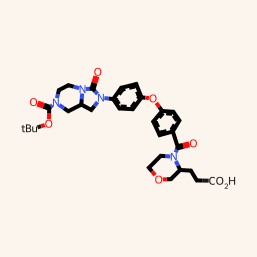 CC(C)(C)OC(=O)N1CCN2C(=O)N(c3ccc(Oc4ccc(C(=O)N5CCOCC5CCC(=O)O)cc4)cc3)CC2C1